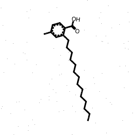 CCCCCCCCCCCCCCc1cc(C)ccc1C(=O)O